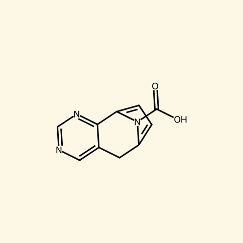 O=C(O)n1c2ccc1-c1ncncc1C2